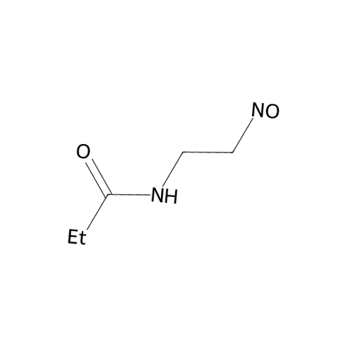 CCC(=O)NCCN=O